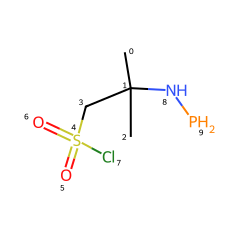 CC(C)(CS(=O)(=O)Cl)NP